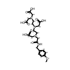 COc1ccc(CNC(=O)CN(CCN(CCN(CC(=O)O)CC(=O)O)CC(=O)O)CC(=O)O)cc1